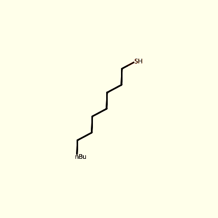 CCCCCCCCCCCS